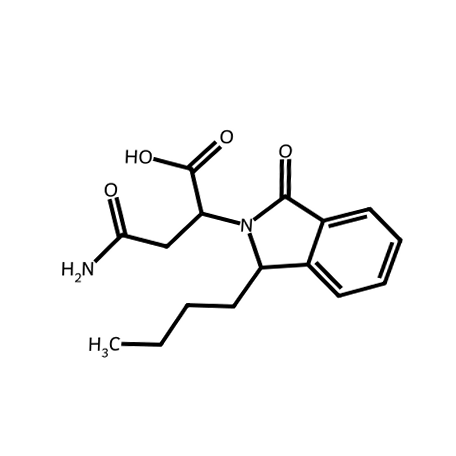 CCCCC1c2ccccc2C(=O)N1C(CC(N)=O)C(=O)O